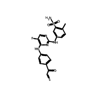 Cc1ccc(Nc2ncc(F)c(Nc3ccc(C(=O)C=S)cc3)n2)cc1S(N)(=O)=O